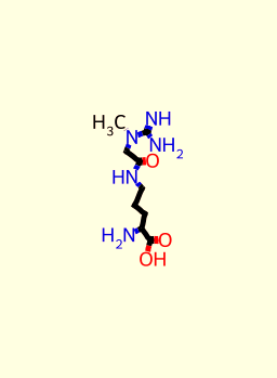 CN(CC(=O)NCCCC(N)C(=O)O)C(=N)N